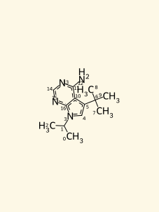 CC(C)n1cc(C(C)(C)C)c2c(N)ncnc21